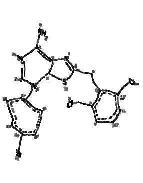 NC1=C2N=C(Cc3c(Cl)cccc3Cl)SC2N(c2ccc(Br)cc2)C=N1